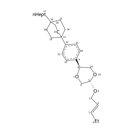 CCC=CCO[C@@H]1CO[C@@H](c2ccc(C34CCC(CCCCCCC)(CC3)CC4)cc2)CO1